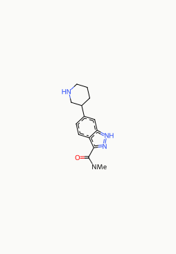 CNC(=O)c1n[nH]c2cc(C3CCCNC3)ccc12